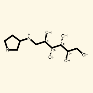 OC[C@@H](O)[C@@H](O)[C@H](O)[C@H](O)CNC1CC[N]C1